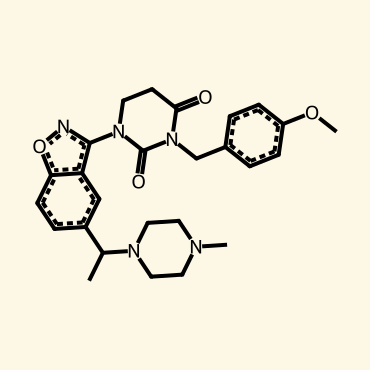 COc1ccc(CN2C(=O)CCN(c3noc4ccc(C(C)N5CCN(C)CC5)cc34)C2=O)cc1